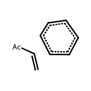 C=CC(C)=O.c1ccccc1